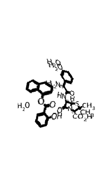 CC1(C)S[C@@H]2[C@H](NC(=O)[C@H](N)c3ccccc3)C(=O)N2[C@H]1C(=O)O.O.O.O.O=C(Oc1cccc2ccccc12)c1ccccc1O